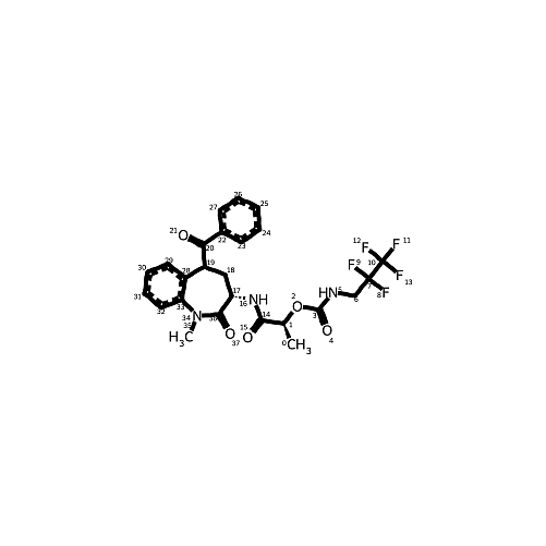 C[C@H](OC(=O)NCC(F)(F)C(F)(F)F)C(=O)N[C@H]1CC(C(=O)c2ccccc2)c2ccccc2N(C)C1=O